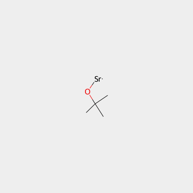 CC(C)(C)[O][Sr]